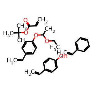 C=CC(=O)OC(C)(C)C.C=Cc1ccc(O)cc1.C=Cc1ccc(OC(C)OCC)cc1.C=Cc1ccccc1